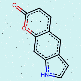 O=c1ccc2cc3cc[nH]c3cc2o1